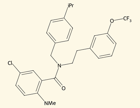 CNc1ccc(Cl)cc1C(=O)N(CCc1cccc(OC(F)(F)F)c1)Cc1ccc(C(C)C)cc1